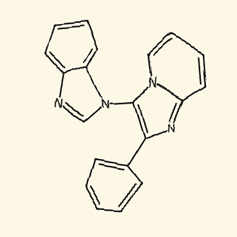 c1ccc(-c2nc3ccccn3c2-n2cnc3ccccc32)cc1